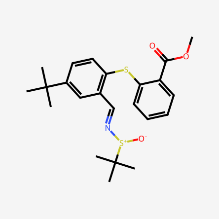 COC(=O)c1ccccc1Sc1ccc(C(C)(C)C)cc1C=N[S+]([O-])C(C)(C)C